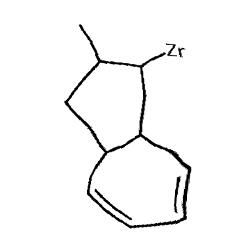 CC1CC2C=CC=CC2[CH]1[Zr]